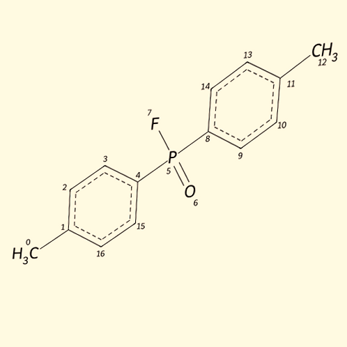 Cc1ccc(P(=O)(F)c2ccc(C)cc2)cc1